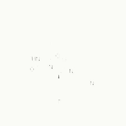 CC(C)C[C@@H]1C(=O)N[C@H](C2Cc3ccccc3C2)C(=O)N1[C@@H](C(=O)N1CCC(N(C)C)CC1)c1ccc(F)cc1